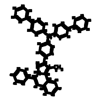 Cc1c(-c2ccc(N(c3ccc(-c4ccccc4)cc3)c3ccc(-c4ccccc4)cc3)cc2)nn2c(-c3ccccc3)cc3ccccc3c12